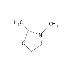 CC1OCCN1C